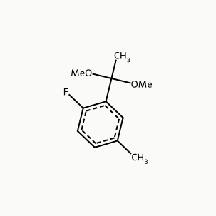 COC(C)(OC)c1cc(C)ccc1F